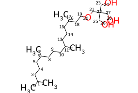 CC(C)CCCC(C)CCCC(C)CCCC(C)CCOCC(CO)(CO)CO